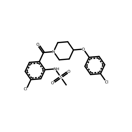 CS(=O)(=O)Nc1cc(Cl)ccc1C(=O)N1CCC(Oc2ccc(Cl)cc2)CC1